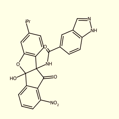 CC(C)c1ccc2c(c1)OC1(O)c3cccc([N+](=O)[O-])c3C(=O)C21NC(=O)c1ccc2[nH]ncc2c1